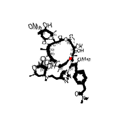 CC[C@H]1OC(=O)[C@H](C)[C@@H](O[C@H]2C[C@@](C)(OC)[C@@H](O)[C@H](C)O2)[C@H](C)[C@@H](O[C@@H]2O[C@H](C)C[C@H](N(C)CCc3cn([C@H](CF)[C@H](OC)c4ccc(CC(=O)N(C)C)cc4)nn3)[C@H]2O)[C@](C)(O)C[C@@H](C)CN(C)[C@H](C)[C@@H](O)[C@]1(C)O